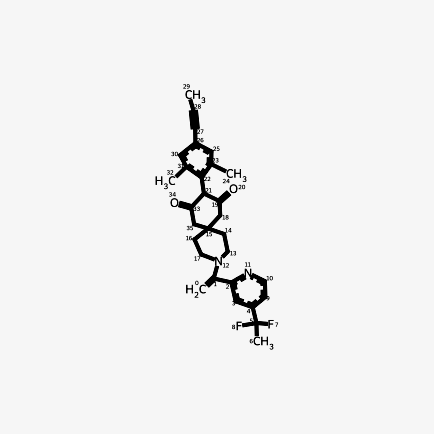 C=C(c1cc(C(C)(F)F)ccn1)N1CCC2(CC1)CC(=O)C(c1c(C)cc(C#CC)cc1C)C(=O)C2